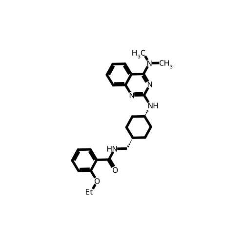 CCOc1ccccc1C(=O)NC[C@H]1CC[C@@H](Nc2nc(N(C)C)c3ccccc3n2)CC1